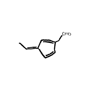 CC=C1C=CC(C=O)=C1